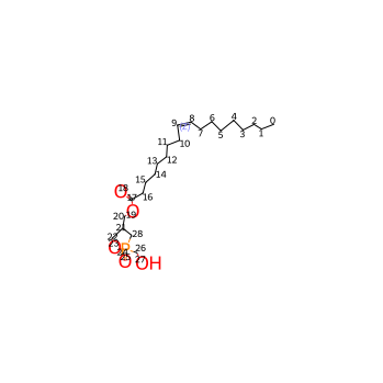 CCCCCCCC/C=C\CCCCCCCC(=O)OCC1COP(=O)(CO)C1